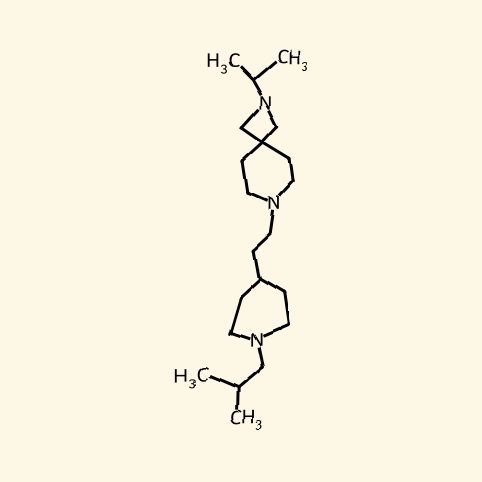 CC(C)CN1CCC(CCN2CCC3(CC2)CN(C(C)C)C3)CC1